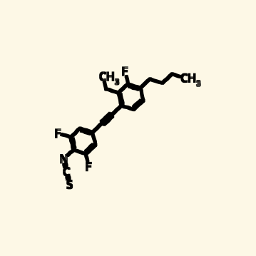 CCCCc1ccc(C#Cc2cc(F)c(N=C=S)c(F)c2)c(CC)c1F